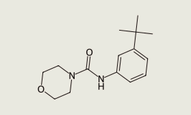 CC(C)(C)c1cccc(NC(=O)N2CCOCC2)c1